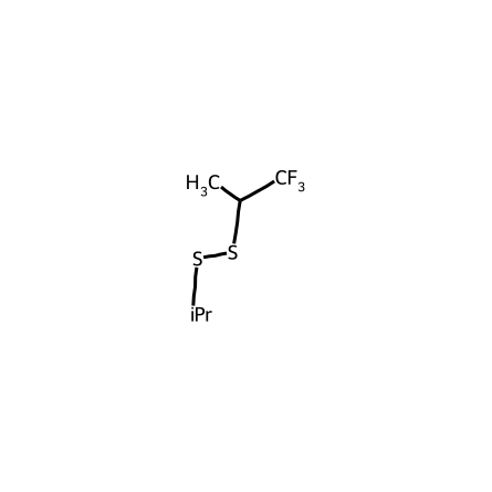 CC(C)SSC(C)C(F)(F)F